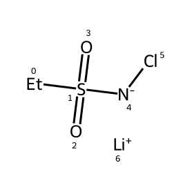 CCS(=O)(=O)[N-]Cl.[Li+]